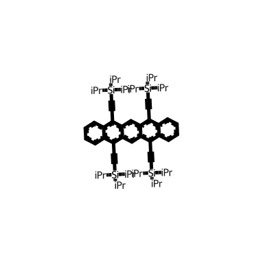 CC(C)[Si](C#Cc1c2ccccc2c(C#C[Si](C(C)C)(C(C)C)C(C)C)c2cc3c(C#C[Si](C(C)C)(C(C)C)C(C)C)c4ccccc4c(C#C[Si](C(C)C)(C(C)C)C(C)C)c3cc12)(C(C)C)C(C)C